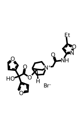 CCc1cc(NC(=O)C[N+]23CCC(CC2)[C@@H](OC(=O)C(O)(c2ccoc2)c2ccoc2)C3)no1.[Br-]